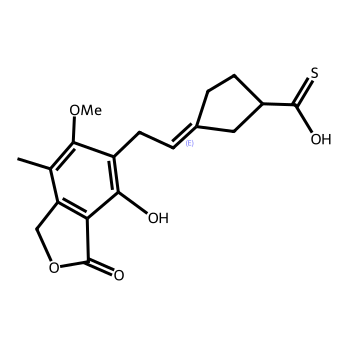 COc1c(C)c2c(c(O)c1C/C=C1\CCC(C(O)=S)C1)C(=O)OC2